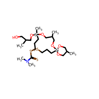 CC(CO)CO[Si](C)(CCCSC(=S)N(C)C)OCC(C)CO[Si]1(CCCS)OCC(C)CO1